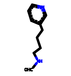 O=CNCCCCc1cccnc1